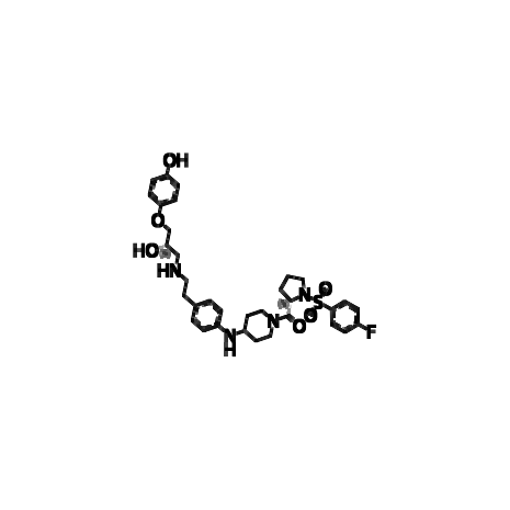 O=C([C@@H]1CCCN1S(=O)(=O)c1ccc(F)cc1)N1CCC(Nc2ccc(CCNC[C@H](O)COc3ccc(O)cc3)cc2)CC1